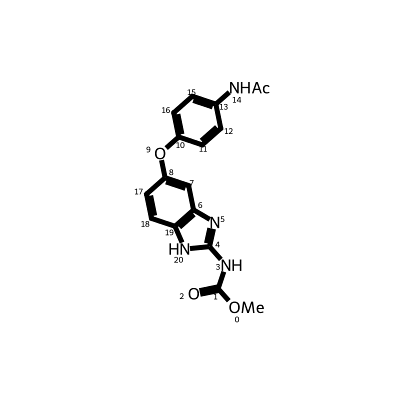 COC(=O)Nc1nc2cc(Oc3ccc(NC(C)=O)cc3)ccc2[nH]1